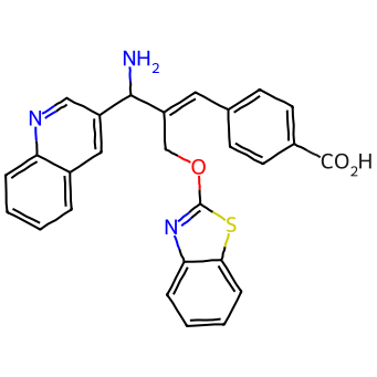 NC(/C(=C/c1ccc(C(=O)O)cc1)COc1nc2ccccc2s1)c1cnc2ccccc2c1